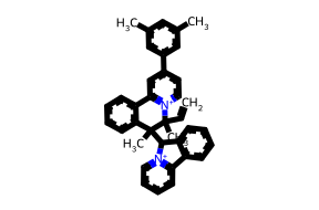 C=CC1(C)[n+]2ccc(-c3cc(C)cc(C)c3)cc2-c2ccccc2C1(C)C1c2ccccc2-c2cccc[n+]21